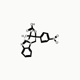 CC(C)(C)[C@](Cn1cnc2ccccc21)(OC(=O)O)c1ccc([N+](=O)[O-])cc1